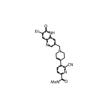 CCc1cc2ncc(CN3CC=C(c4ccc(C(=O)NC)nc4C#N)CC3)cc2[nH]c1=O